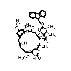 COc1cc2cc(c1Cl)N(C)C(=O)C[C@H](OC(=O)[C@@H](C)N(C)C(=O)OCC1c3ccccc3-c3ccccc31)C(C)(C)O[C@H](C)[C@@H]1C[C@@](O)(NC(=O)O1)[C@H](OC)/C=C/C=C(\C)C2